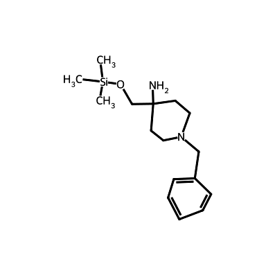 C[Si](C)(C)OCC1(N)CCN(Cc2ccccc2)CC1